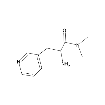 CN(C)C(=O)C(N)Cc1cccnc1